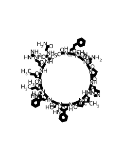 CCCC[C@H]1C(=O)N(C)[C@@H](CCCC)C(=O)N[C@@H](CCCNC(=N)N)C(=O)N[C@H](C(=O)NCC(N)=O)CSCC(=O)N[C@@H](CCCc2ccccc2)C(=O)N(C)[C@@H](C)C(=O)N[C@@H](CC(N)=O)C(=O)N2CCC[C@H]2C(=O)N[C@@H](Cc2cnc[nH]2)C(=O)N[C@@H](CC(C)C)C(=O)N2CCCC2C(=O)N[C@@H](Cc2c[nH]c3ccccc23)C(=O)N[C@@H](CO)C(=O)N[C@@H](Cc2c[nH]c3ccccc23)C(=O)N1C